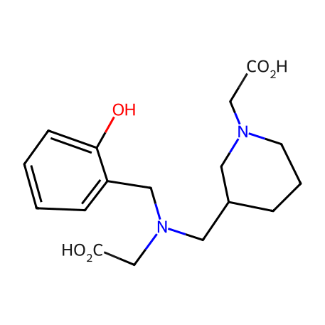 O=C(O)CN1CCCC(CN(CC(=O)O)Cc2ccccc2O)C1